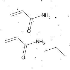 C=CC(N)=O.C=CC(N)=O.CCC